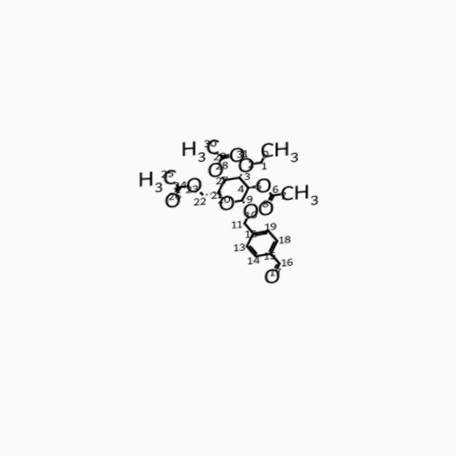 CCO[C@@H]1[C@@H](OC(C)=O)[C@H](OCc2ccc(C=O)cc2)O[C@H](COC(C)=O)[C@H]1OC(C)=O